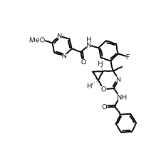 COc1cnc(C(=O)Nc2ccc(F)c(C3(C)N=C(NC(=O)c4ccccc4)O[C@H]4C[C@H]43)c2)cn1